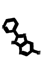 Clc1cnc2[nH]c(-c3cccnc3)nc2c1